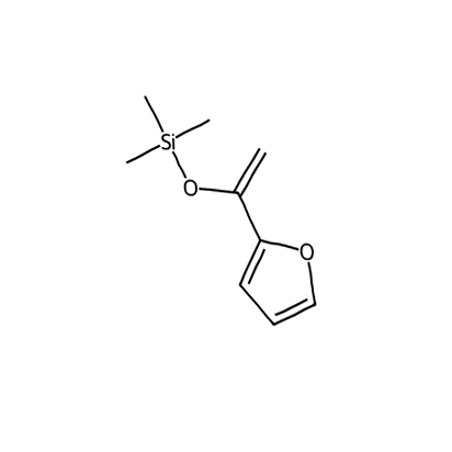 C=C(O[Si](C)(C)C)c1ccco1